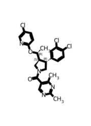 Cc1ncc(C(=O)N2C[C@@H]([C@@H](C)Oc3ccc(Cl)cn3)[C@H](c3ccc(Cl)c(Cl)c3)C2)c(C)n1